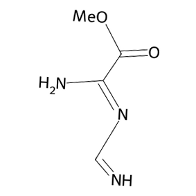 COC(=O)/C(N)=N/C=N